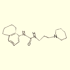 O=C(NCCCN1CCCCC1)Nc1cccc2c1CCCC2